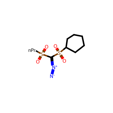 CCCS(=O)(=O)C(=[N+]=[N-])S(=O)(=O)C1CCCCC1